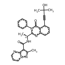 Cc1nn2cccnc2c1C(=O)N[C@@H](C)c1nc2cccc(C#CC(C)(C)O)c2c(=O)n1-c1ccccc1